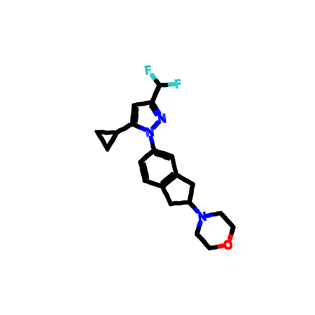 FC(F)c1cc(C2CC2)n(-c2ccc3c(c2)CC(N2CCOCC2)C3)n1